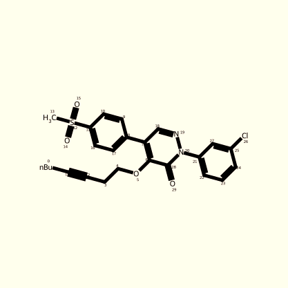 CCCCC#CCCOc1c(-c2ccc(S(C)(=O)=O)cc2)cnn(-c2cccc(Cl)c2)c1=O